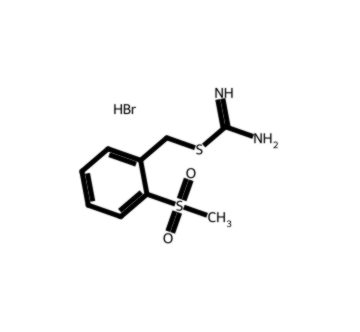 Br.CS(=O)(=O)c1ccccc1CSC(=N)N